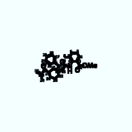 COC(=O)c1cccc(C)c1NC(=O)C[N+]1(Cc2ccccc2)CCCC(C(=O)N(C)C)C1